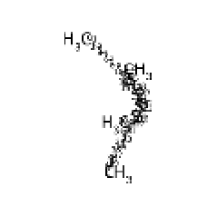 CCCCCCCCCCCC(C)c1ccc(-c2ccc(-c3ccc(-c4ccc(C(C)CCCCCCCCCCC)s4)s3)s2)s1